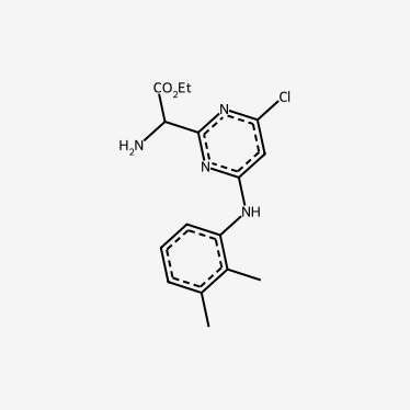 CCOC(=O)C(N)c1nc(Cl)cc(Nc2cccc(C)c2C)n1